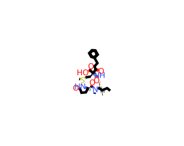 CC[C@H](C)[C@@H](CON[C@](CCSC)(C(=O)O)C(=O)CCc1ccccc1)N(C)C(=O)[C@@H]1CCC(=O)N1